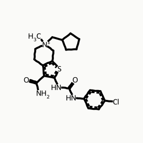 C[N+]1(CC2CCCC2)CCc2c(sc(NC(=O)Nc3ccc(Cl)cc3)c2C(N)=O)C1